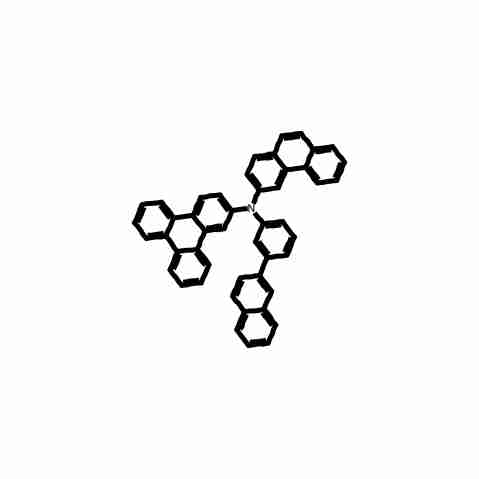 c1cc(-c2ccc3ccccc3c2)cc(N(c2ccc3ccc4ccccc4c3c2)c2ccc3c4ccccc4c4ccccc4c3c2)c1